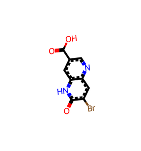 O=C(O)c1cnc2cc(Br)c(=O)[nH]c2c1